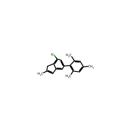 CC1=Cc2cc(-c3c(C)cc(C)cc3C)cc(Br)c2C1